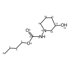 CCCCOC(=O)NN1CCCC(O)C1